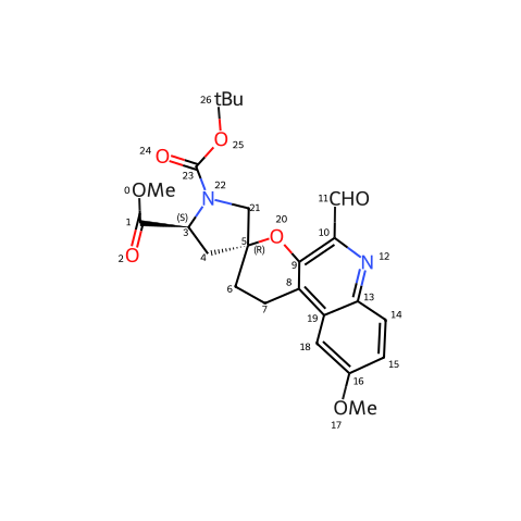 COC(=O)[C@@H]1C[C@]2(CCc3c(c(C=O)nc4ccc(OC)cc34)O2)CN1C(=O)OC(C)(C)C